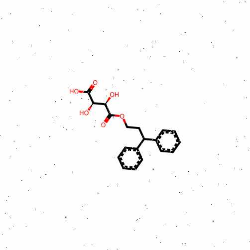 O=C(O)[C@H](O)[C@@H](O)C(=O)OCCC(c1ccccc1)c1ccccc1